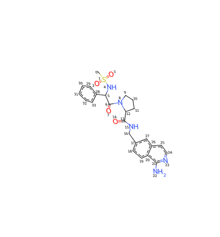 CS(=O)(=O)NC(C(=O)N1CCCC1C(=O)NCc1ccc2c(N)nccc2c1)c1ccccc1